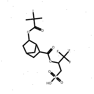 CC(C)(I)C(=O)OC1CC2CC(C(=O)OC(CS(=O)(=O)O)C(F)(F)F)C1C2